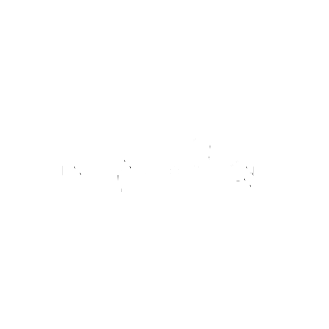 Cn1cc(-c2c[c]cc(OCCNC(=O)[C@H]3CCCNC3)c2)cn1